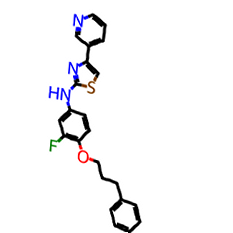 Fc1cc(Nc2nc(-c3cccnc3)cs2)ccc1OCCCc1ccccc1